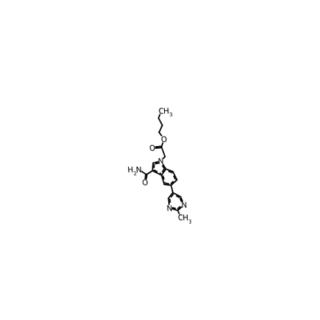 CCCCOC(=O)Cn1cc(C(N)=O)c2cc(-c3cnc(C)nc3)ccc21